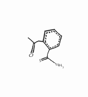 CC(=O)c1ccccc1C(N)=S